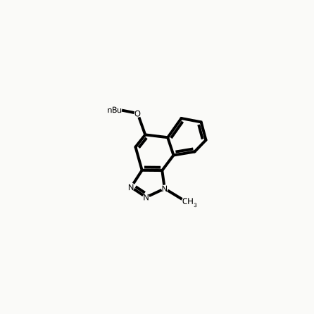 CCCCOc1cc2nnn(C)c2c2ccccc12